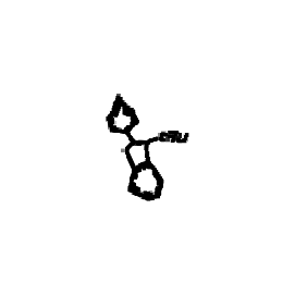 CC(C)(C)C1=C(c2ccccc2)[CH]c2ccccc21